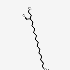 CCCCCCCCCCCCCCCC(C=O)CCCl